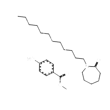 CCCCCCCCCCCCN1CCCCCC1=O.COC(=O)c1ccc(O)cc1